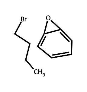 CCCCBr.c1ccc2c(c1)O2